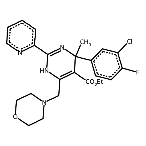 CCOC(=O)C1=C(CN2CCOCC2)NC(c2ccccn2)=NC1(C)c1ccc(F)c(Cl)c1